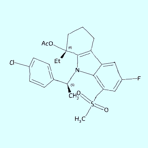 CC[C@@]1(OC(C)=O)CCCc2c1n([C@@H](C)c1ccc(Cl)cc1)c1c(S(C)(=O)=O)cc(F)cc21